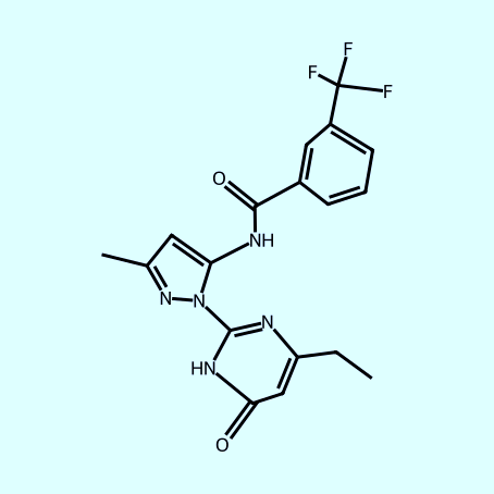 CCc1cc(=O)[nH]c(-n2nc(C)cc2NC(=O)c2cccc(C(F)(F)F)c2)n1